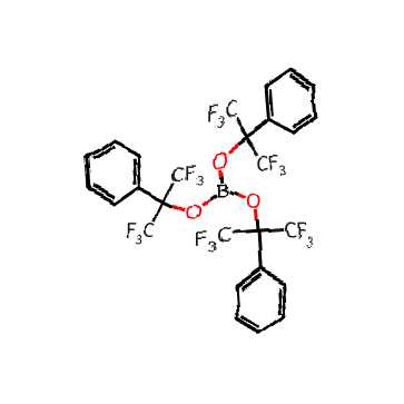 FC(F)(F)C(OB(OC(c1ccccc1)(C(F)(F)F)C(F)(F)F)OC(c1ccccc1)(C(F)(F)F)C(F)(F)F)(c1ccccc1)C(F)(F)F